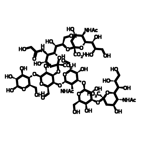 CC(=O)N[C@H]1[C@H](O[C@@H]2[C@H](O[C@]3(C(=O)O)C[C@H](O)[C@@H](NC(=O)CO)[C@H]([C@H](O)[C@@H](CO)O[C@]4(C(=O)O)C[C@H](O)[C@@H](NC(C)=O)[C@H]([C@H](O)[C@H](O)CO)O4)O3)[C@@H](O)[C@H](O[C@H]3[C@H](O)[C@@H](O)[C@H](O)O[C@@H]3CO)O[C@@H]2CO)O[C@H](CO)[C@H](O)[C@@H]1O[C@@H]1O[C@H](CO)[C@H](O)[C@H](O[C@]2(C(=O)O)C[C@H](O)[C@@H](NC(C)=O)[C@H]([C@H](O)[C@H](O)CO)O2)[C@H]1O